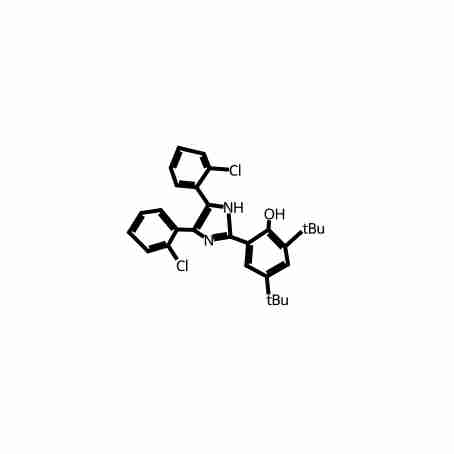 CC(C)(C)c1cc(-c2nc(-c3ccccc3Cl)c(-c3ccccc3Cl)[nH]2)c(O)c(C(C)(C)C)c1